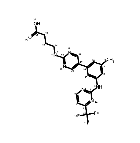 Cc1cc(Nc2nccc(C(F)(F)F)n2)cc(-c2cnc(NCCCC(=O)O)nc2)c1